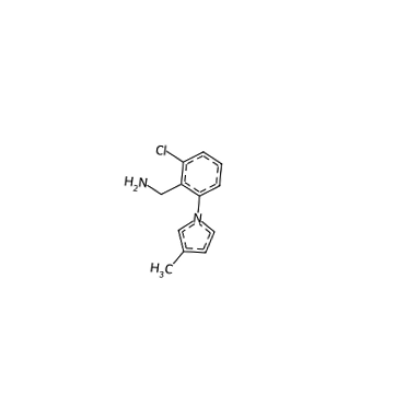 Cc1ccn(-c2cccc(Cl)c2CN)c1